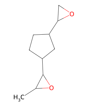 CC1OC1C1CCC(C2CO2)C1